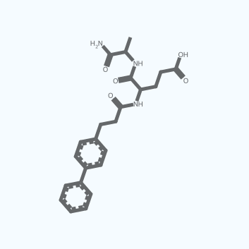 CC(NC(=O)C(CCC(=O)O)NC(=O)CCc1ccc(-c2ccccc2)cc1)C(N)=O